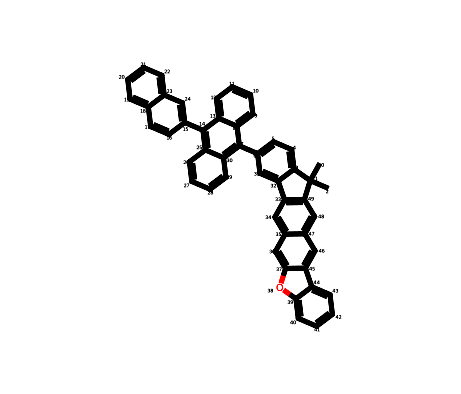 CC1(C)c2ccc(-c3c4ccccc4c(-c4ccc5ccccc5c4)c4ccccc34)cc2-c2cc3cc4oc5ccccc5c4cc3cc21